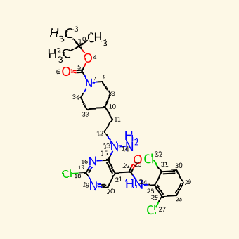 CC(C)(C)OC(=O)N1CCC(CCN(N)c2nc(Cl)ncc2C(=O)Nc2c(Cl)cccc2Cl)CC1